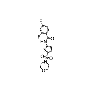 O=C(Nc1ccc(S(=O)(=O)N2CCOCC2)s1)c1ccc(F)cc1F